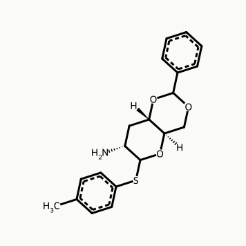 Cc1ccc(SC2O[C@@H]3COC(c4ccccc4)O[C@H]3C[C@H]2N)cc1